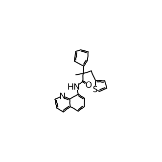 CC(Cc1cccs1)(C(=O)Nc1cccc2cccnc12)c1ccccc1